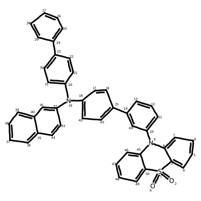 O=S1(=O)c2ccccc2N(c2cccc(-c3ccc(N(c4ccc(-c5ccccc5)cc4)c4ccc5ccccc5c4)cc3)c2)c2ccccc21